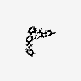 Nc1nn2cc(F)cnc2c1C(=O)Nc1cnccc1N1CCC(S(=O)(=O)N2CCN3CCC2CC3)CC1